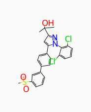 CC(C)(O)c1cc(-c2ccc(-c3cccc(S(C)(=O)=O)c3)cc2)n(-c2c(Cl)cccc2Cl)n1